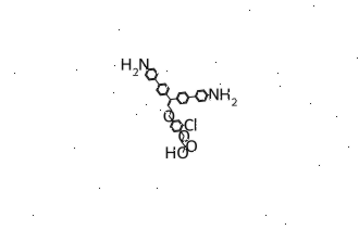 Nc1ccc(-c2ccc(C(=CCOc3ccc(OCC(=O)O)c(Cl)c3)c3ccc(-c4ccc(N)cc4)cc3)cc2)cc1